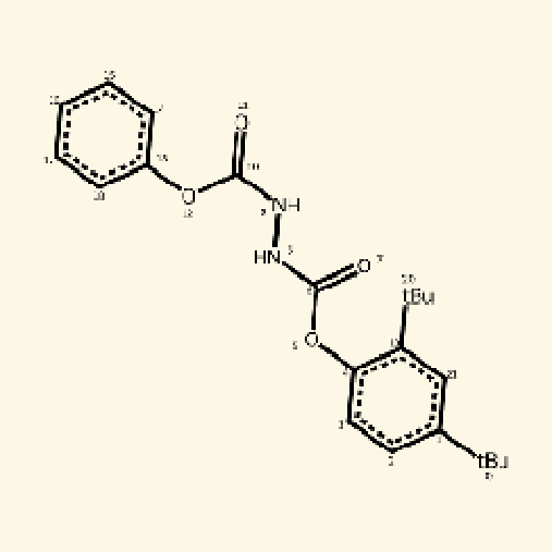 CC(C)(C)c1ccc(OC(=O)NNC(=O)Oc2ccccc2)c(C(C)(C)C)c1